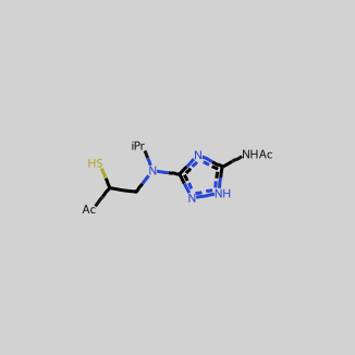 CC(=O)Nc1nc(N(CC(S)C(C)=O)C(C)C)n[nH]1